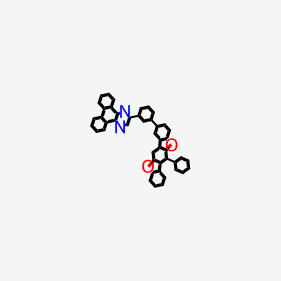 c1ccc(-c2c3oc4ccc(-c5cccc(-c6cnc7c8ccccc8c8ccccc8c7n6)c5)cc4c3cc3oc4ccccc4c23)cc1